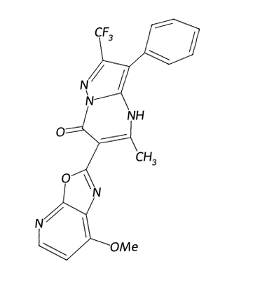 COc1ccnc2oc(-c3c(C)[nH]c4c(-c5ccccc5)c(C(F)(F)F)nn4c3=O)nc12